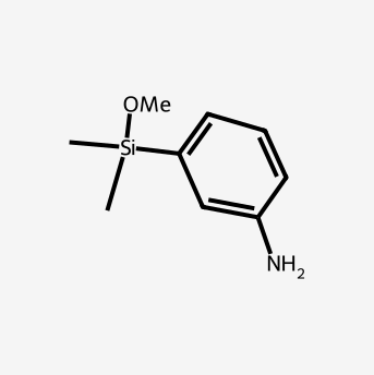 CO[Si](C)(C)c1cccc(N)c1